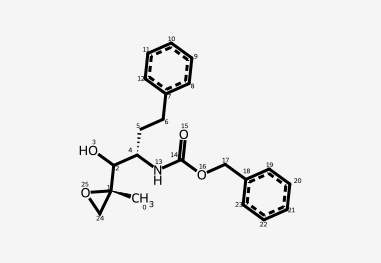 C[C@@]1(C(O)[C@H](CCc2ccccc2)NC(=O)OCc2ccccc2)CO1